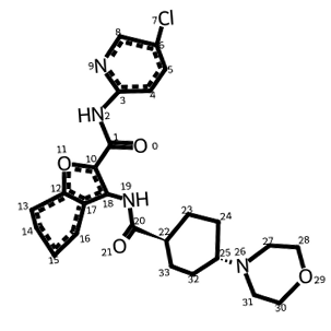 O=C(Nc1ccc(Cl)cn1)c1oc2ccccc2c1NC(=O)[C@H]1CC[C@H](N2CCOCC2)CC1